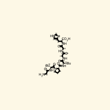 CC[C@H](C)[C@H](NC(=O)[C@@H]1CCCN1C(=O)[C@@H](NC(=O)CN)[C@@H](C)CC)C(=O)NCC(=O)NCC(=O)N[C@@H](Cc1c[nH]cn1)C(=O)O